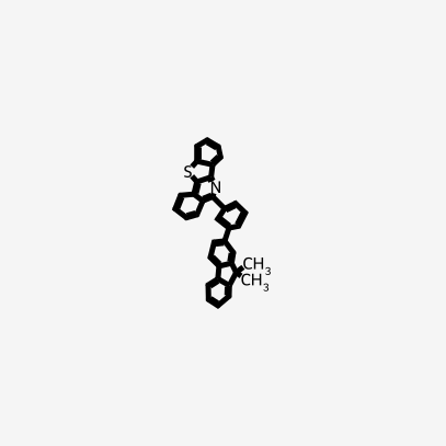 CC1(C)c2ccccc2-c2ccc(-c3cccc(-c4nc5c6ccccc6sc5c5ccccc45)c3)cc21